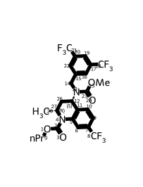 CCCOC(=O)N1c2cc(C(F)(F)F)ccc2[C@@H](N(Cc2cc(C(F)(F)F)cc(C(F)(F)F)c2)C(=O)OC)C[C@H]1C